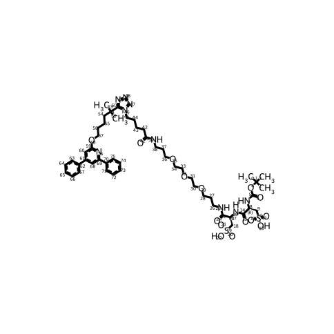 CC(C)(C)OC(=O)N[C@@H](CS(=O)(=O)O)C(=O)N[C@@H](CS(=O)(=O)O)C(=O)NCCCOCCOCCOCCCNC(=O)CCCCn1nnnc1C(C)(C)CCCCOc1cc(-c2ccccc2)cc(-c2ccccc2)n1